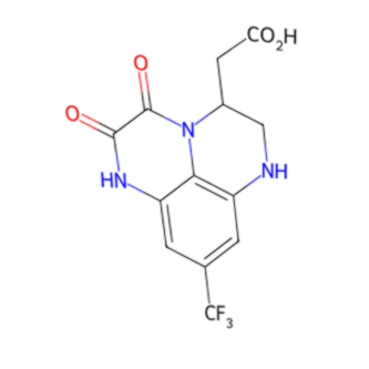 O=C(O)CC1CNc2cc(C(F)(F)F)cc3[nH]c(=O)c(=O)n1c23